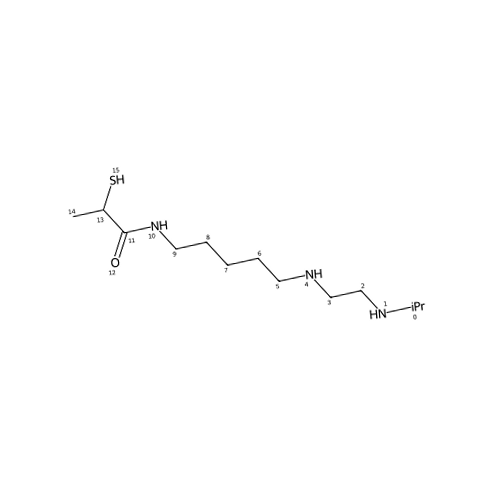 CC(C)NCCNCCCCCNC(=O)C(C)S